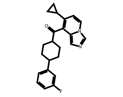 O=C(c1c(C2CC2)ccn2cncc12)C1CCC(c2cccc(F)c2)CC1